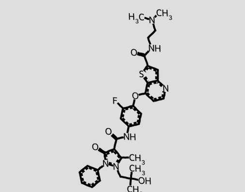 Cc1c(C(=O)Nc2ccc(Oc3ccnc4cc(C(=O)NCCN(C)C)sc34)c(F)c2)c(=O)n(-c2ccccc2)n1CC(C)(C)O